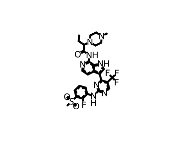 CCC(C(=O)Nc1nccc2c(-c3nc(Nc4cccc(S(C)(=O)=O)c4F)ncc3C(F)(F)F)c[nH]c12)N1CCN(C)CC1